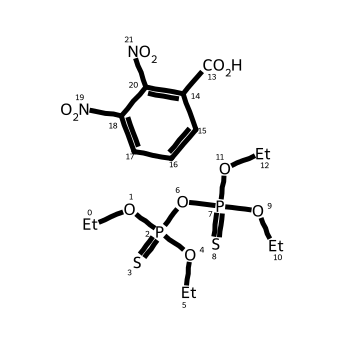 CCOP(=S)(OCC)OP(=S)(OCC)OCC.O=C(O)c1cccc([N+](=O)[O-])c1[N+](=O)[O-]